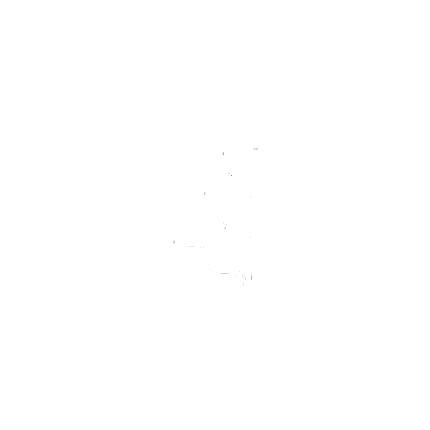 CC(CO)C(C)OC(C)(C)C